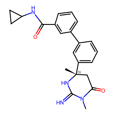 CN1C(=N)N[C@](C)(c2cccc(-c3cccc(C(=O)NC4CC4)c3)c2)CC1=O